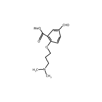 COC(=O)c1cc(C=O)ccc1OCCCN(C)C